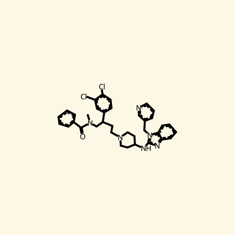 CN(CC(CCN1CCC(Nc2nc3ccccc3n2Cc2cccnc2)CC1)c1ccc(Cl)c(Cl)c1)C(=O)c1ccccc1